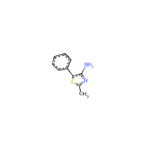 Cc1nc(N)c(-c2ccccc2)s1